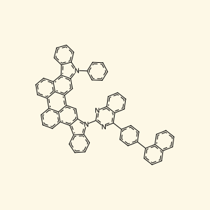 c1ccc(-n2c3ccccc3c3c4cccc5c6cccc7c6c(cc6c7c7ccccc7n6-c6nc(-c7ccc(-c8cccc9ccccc89)cc7)c7ccccc7n6)c(cc32)c54)cc1